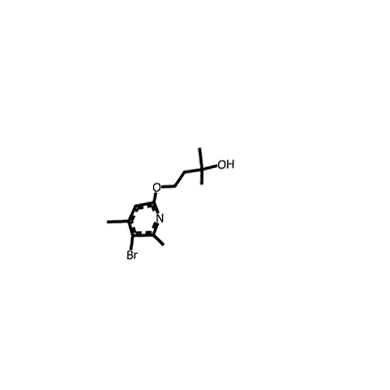 Cc1cc(OCCC(C)(C)O)nc(C)c1Br